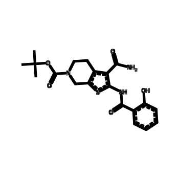 CC(C)(C)OC(=O)N1CCc2c(sc(NC(=O)c3ccccc3O)c2C(N)=O)C1